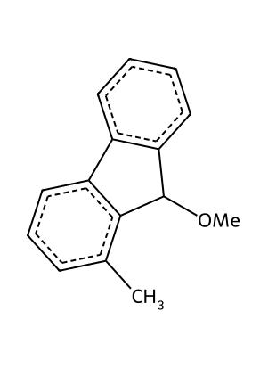 COC1c2ccccc2-c2cccc(C)c21